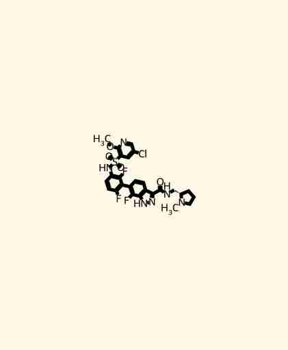 COc1ncc(Cl)cc1S(=O)(=O)Nc1ccc(F)c(-c2ccc3c(C(=O)NC[C@@H]4CCCN4C)n[nH]c3c2F)c1F